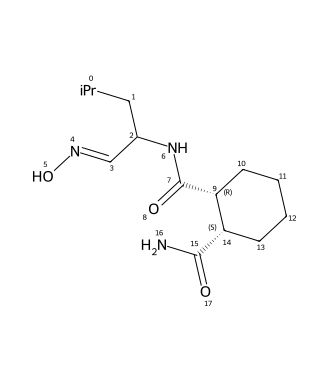 CC(C)CC(C=NO)NC(=O)[C@@H]1CCCC[C@@H]1C(N)=O